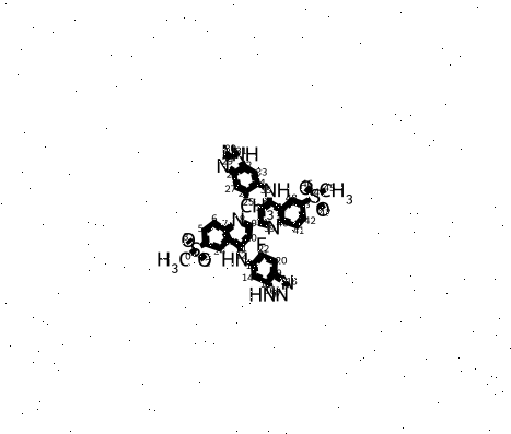 CS(=O)(=O)c1ccc2nccc(Nc3cc4[nH]nnc4cc3F)c2c1.Cc1cc2nn[nH]c2cc1Nc1ccnc2ccc(S(C)(=O)=O)cc12